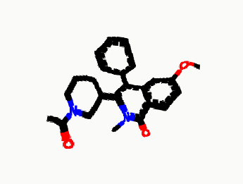 COc1ccc2c(=O)n(C)c(C3CCCN(C(C)=O)C3)c(-c3ccccc3)c2c1